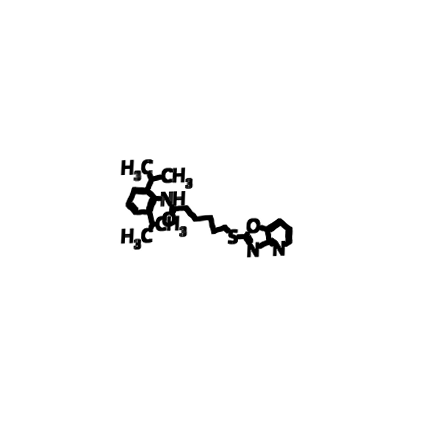 CC(C)c1cccc(C(C)C)c1NC(=O)CCCCCSc1nc2ncccc2o1